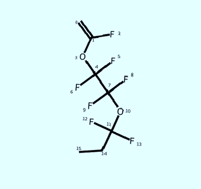 C=C(F)OC(F)(F)C(F)(F)OC(F)(F)CC